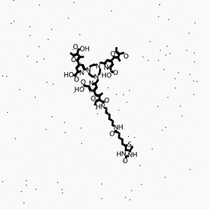 Cc1oc(-c2cc(CN3CCN(Cc4cc(-c5oc(C)c(C(=O)NCCCCCCNC(=O)CCCCC6SCC7NC(=O)NC76)c5C)cc(C(=O)O)n4)CCN(c4cc(-c5oc(C)c(C(=O)O)c5C)cc(C(=O)O)n4)CC3)nc(C(=O)O)c2)c(C)c1C=O